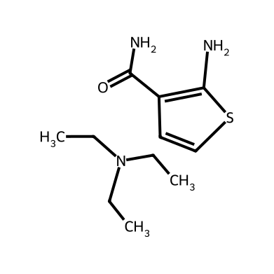 CCN(CC)CC.NC(=O)c1ccsc1N